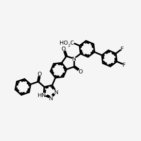 O=C(O)c1ccc(-c2ccc(F)c(F)c2)cc1N1C(=O)c2ccc(-c3nn[nH]c3C(=O)c3ccccc3)cc2C1=O